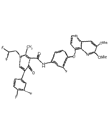 COc1cc2nccc(Oc3ccc(NC(=O)c4c(C)n(CC(F)F)cc(-c5ccc(F)c(F)c5)c4=O)cc3F)c2nc1OC